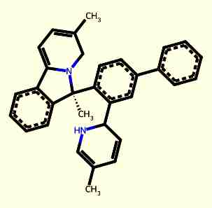 CC1=CNC(c2cc(-c3ccccc3)ccc2[C@@]2(C)c3ccccc3C3=CC=C(C)CN32)C=C1